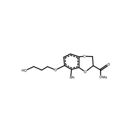 CCCc1c(OCCCO)ccc2c1OC(C(=O)OC)CC2